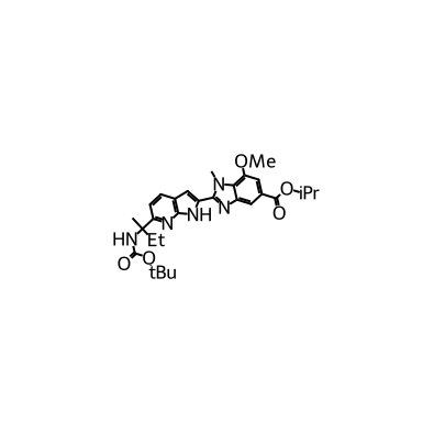 CCC(C)(NC(=O)OC(C)(C)C)c1ccc2cc(-c3nc4cc(C(=O)OC(C)C)cc(OC)c4n3C)[nH]c2n1